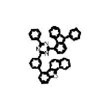 c1ccc(-c2nc(-c3cccc(-c4cccc5oc6c7ccccc7ccc6c45)c3)nc(-c3cccc4c3-c3ccccc3C4c3ccccc3)n2)cc1